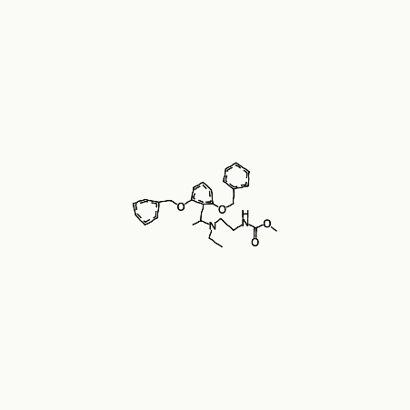 CCN(CCNC(=O)OC)C(C)c1c(OCc2ccccc2)cccc1OCc1ccccc1